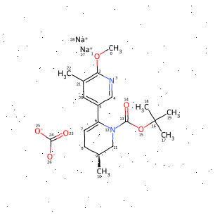 COc1ncc(C2=CC[C@H](C)CN2C(=O)OC(C)(C)C)cc1C.O=C([O-])[O-].[Na+].[Na+]